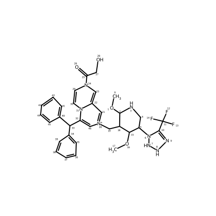 COC1NCC(N2NNN=C2C(F)(F)F)C(OC)C1C[N+]1=CC2=CN(C(=O)CO)C=CN2C(C(c2ccccc2)c2ccccc2)=C1